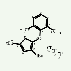 Cc1cccc(C)c1OC1=C(C(C)(C)C)C=C(C(C)(C)C)C1.[Cl-].[Cl-].[Ti+2]